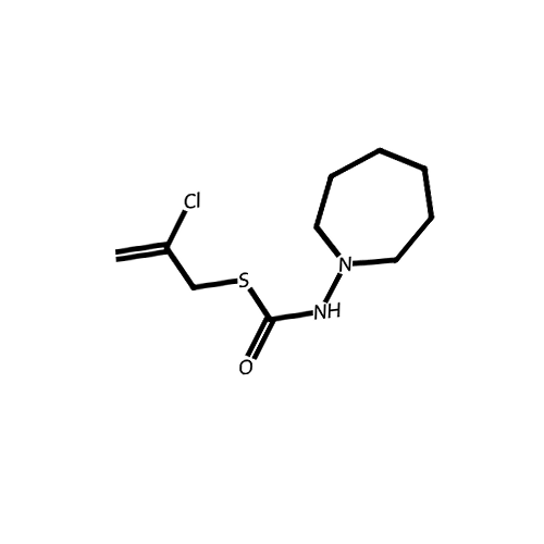 C=C(Cl)CSC(=O)NN1CCCCCC1